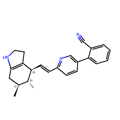 C[C@H]1[C@H](/C=C/c2ccc(-c3ccccc3C#N)cn2)C2=C(C[C@@H]1C)NCC2